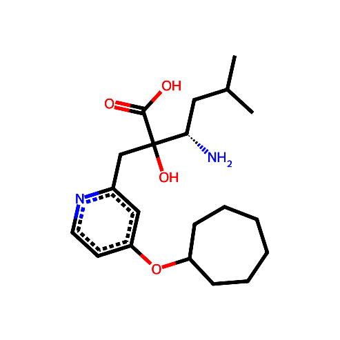 CC(C)C[C@H](N)C(O)(Cc1cc(OC2CCCCCC2)ccn1)C(=O)O